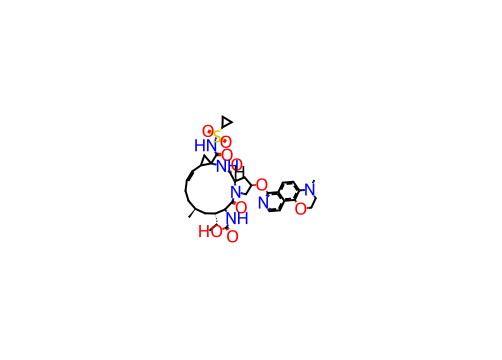 CC[C@@H]1C[C@@H](C)CC/C=C\C2CC2(C(=O)NS(=O)(=O)C2CC2)NC(=O)[C@@H]2C[C@@H](Oc3nccc4c5c(ccc34)N(C)CCO5)CN2C(=O)[C@H]1NC(=O)O